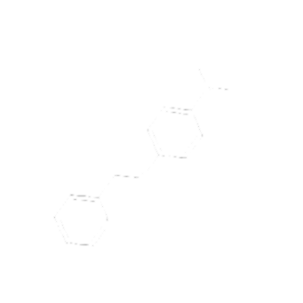 OB(O)c1ccc(OCc2ccccn2)cc1